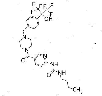 CCCCNC(=O)Nc1ccc(C(=O)N2CCN(Cc3ccc(C(O)(C(F)(F)F)C(F)(F)F)cc3)CC2)cn1